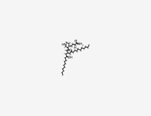 CCCCCCCCCCC(O)CN(CCC1CNCCN1CCNC(N)=O)CC(O)CCCCCCCCCC